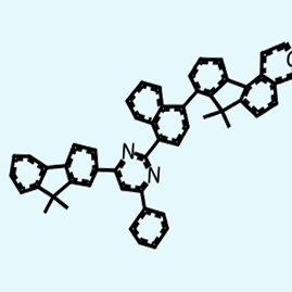 CC1(C)c2ccccc2-c2ccc(-c3cc(-c4ccccc4)nc(-c4ccc(-c5cccc6c5C(C)(C)c5ccc7ccccc7c5-6)c5ccccc45)n3)cc21